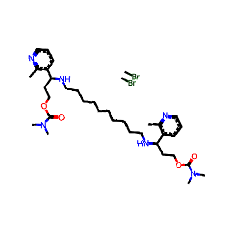 CBr.CBr.Cc1ncccc1C(CCOC(=O)N(C)C)NCCCCCCCCCCNC(CCOC(=O)N(C)C)c1cccnc1C